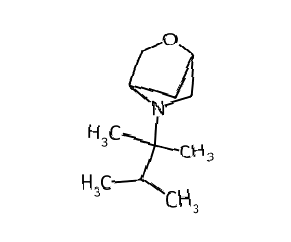 CC(C)C(C)(C)N1CC2CC1CO2